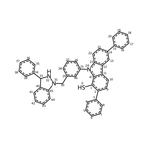 Sc1c(-c2ccccc2)ccc2c3cc(-c4ccccc4)ccc3n(-c3cccc(CN4NC(c5ccccc5)c5ccccc54)c3)c12